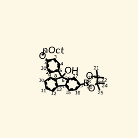 CCCCCCCCOc1ccc(C2(O)c3ccccc3-c3ccc(B4OC(C)(C)C(C)(C)O4)cc32)cc1